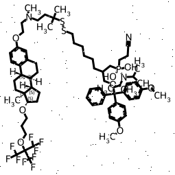 COc1ccc(C(OCC(CCCCCCSSC(C)(C)CCN(C)CCOc2ccc3c(c2)CC[C@@H]2[C@@H]3CC[C@]3(C)[C@@H](OCCCOC(C(F)(F)F)(C(F)(F)F)C(F)(F)F)CC[C@@H]23)CP(O)(O)(CCC#N)N(C(C)C)C(C)C)(c2ccccc2)c2ccc(OC)cc2)cc1